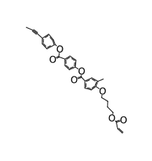 C=CC(=O)OCCCCOc1ccc(C(=O)Oc2ccc(C(=O)Oc3ccc(C#CC)cc3)cc2)cc1C